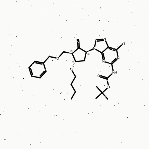 C=C1[C@H](COCc2ccccc2)[C@@H](OCCCC)C[C@@H]1n1cnc2c(Cl)nc(NC(=O)OC(C)(C)C)nc21